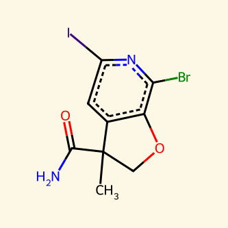 CC1(C(N)=O)COc2c1cc(I)nc2Br